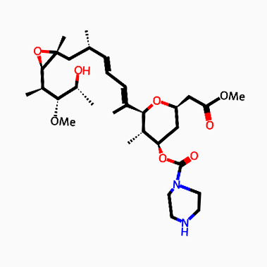 COC(=O)C[C@H]1C[C@@H](OC(=O)N2CCNCC2)[C@H](C)[C@@H](/C(C)=C/C=C/[C@@H](C)C[C@@]2(C)O[C@@H]2[C@H](C)[C@@H](OC)[C@@H](C)O)O1